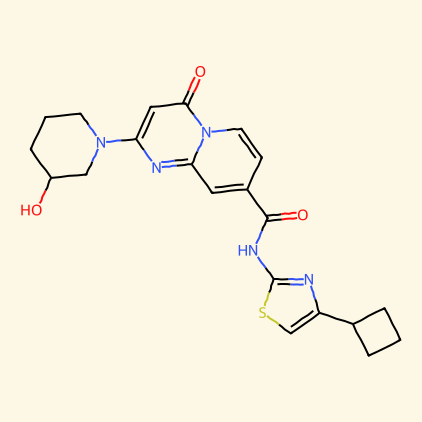 O=C(Nc1nc(C2CCC2)cs1)c1ccn2c(=O)cc(N3CCCC(O)C3)nc2c1